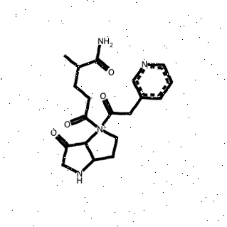 CC(C[CH]C(=O)[N+]1(C(=O)Cc2cccnc2)CCC2NCC(=O)C21)C(N)=O